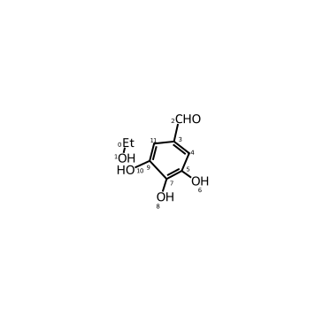 CCO.O=Cc1cc(O)c(O)c(O)c1